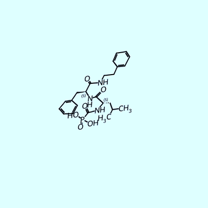 CC(C)C[C@H](NC(=O)P(=O)(O)O)C(=O)N[C@@H](Cc1ccccc1)C(=O)NCCc1ccccc1